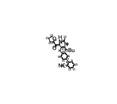 CCCCC1=C(Cc2ccc(-c3ccccc3C#N)cc2)C(C(=O)C2CCCO2)NC(C)=N1